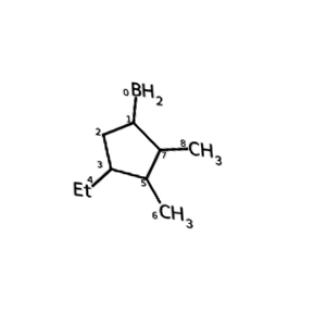 BC1CC(CC)C(C)C1C